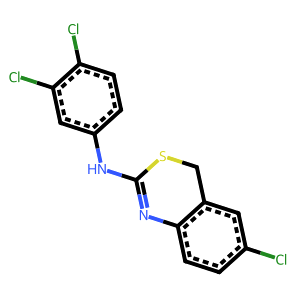 Clc1ccc2c(c1)CSC(Nc1ccc(Cl)c(Cl)c1)=N2